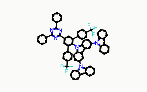 FC(F)(F)c1ccc(-c2cc(-c3nc(-c4ccccc4)nc(-c4ccccc4)n3)cc(-c3ccc(C(F)(F)F)cc3)c2-n2c3ccc(-n4c5ccccc5c5ccccc54)cc3c3cc(-n4c5ccccc5c5ccccc54)ccc32)cc1